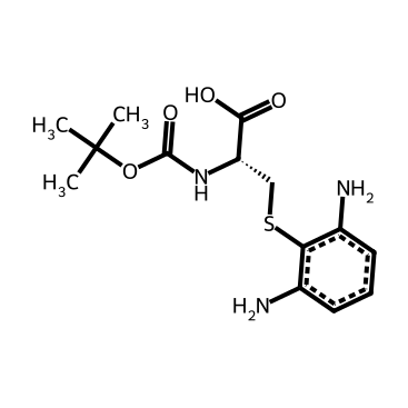 CC(C)(C)OC(=O)N[C@@H](CSc1c(N)cccc1N)C(=O)O